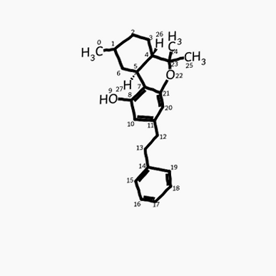 CC1CC[C@H]2[C@H](C1)c1c(O)cc(CCc3ccccc3)cc1OC2(C)C